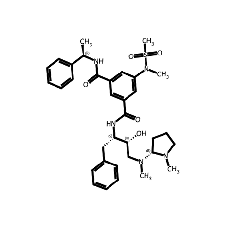 C[C@@H](NC(=O)c1cc(C(=O)N[C@@H](Cc2ccccc2)[C@H](O)CN(C)[C@@H]2CCCN2C)cc(N(C)S(C)(=O)=O)c1)c1ccccc1